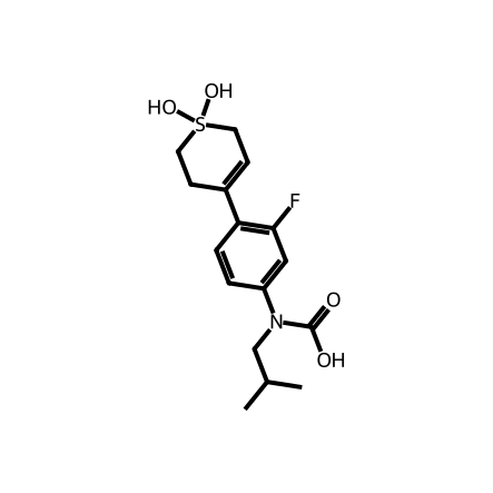 CC(C)CN(C(=O)O)c1ccc(C2=CCS(O)(O)CC2)c(F)c1